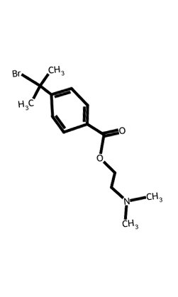 CN(C)CCOC(=O)c1ccc(C(C)(C)Br)cc1